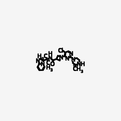 C[C@H]1CN(c2ncc(Cl)c(N3CC(C(=O)NC(C)(C)c4cnc5ccccn45)C3)n2)CCN1